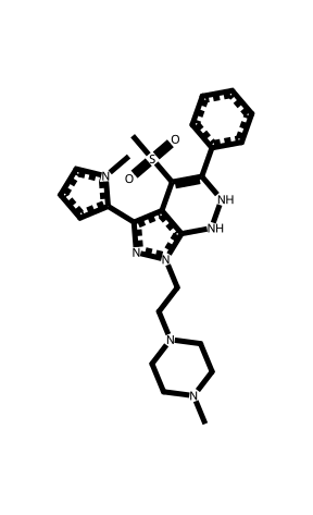 CN1CCN(CCn2nc(-c3cccn3C)c3c2NNC(c2ccccc2)=C3S(C)(=O)=O)CC1